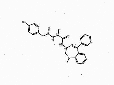 C[C@H](NC(=O)Cc1ccc(Br)cc1)C(=O)N[C@@H]1CN(C)c2ccccc2C(c2ccccc2)=N1